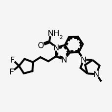 CN1CC2CC1CN2c1cccc2c1nc(CCC1CCC(F)(F)C1)n2C(N)=O